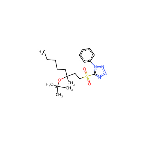 CCCCCC(C)(CCS(=O)(=O)c1nnnn1-c1ccccc1)O[Si](C)(C)C